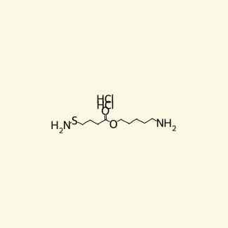 Cl.Cl.NCCCCCOC(=O)CCCSN